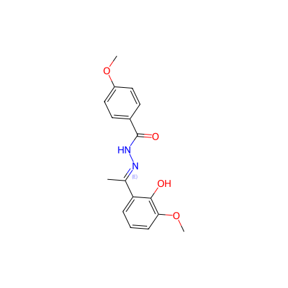 COc1ccc(C(=O)N/N=C(\C)c2cccc(OC)c2O)cc1